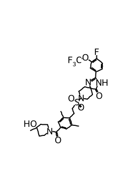 Cc1cc(C(=O)N2CCC(C)(O)CC2)cc(C)c1CCS(=O)(=O)N1CCC2(CC1)N=C(c1ccc(F)c(OC(F)(F)F)c1)NC2=O